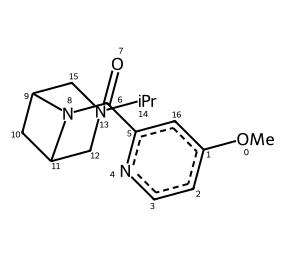 COc1ccnc(C(=O)N2C3CC2CN(C(C)C)C3)c1